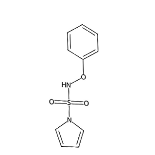 O=S(=O)(NOc1ccccc1)n1cccc1